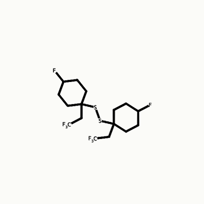 FC1CCC(CC(F)(F)F)(SSC2(CC(F)(F)F)CCC(F)CC2)CC1